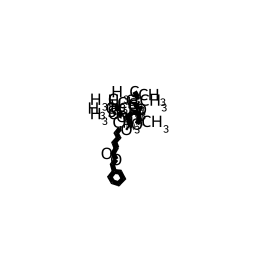 CC(CCC=CC(=O)OCC1CCCCC1)O[C@@H]1O[C@@H](C)[C@H](O[Si](C)(C)C(C)(C)C)C[C@H]1O[Si](C)(C)C(C)(C)C